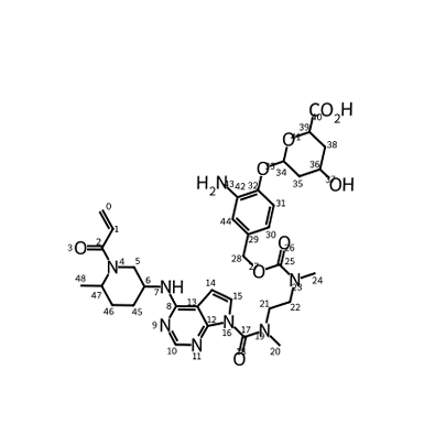 C=CC(=O)N1CC(Nc2ncnc3c2ccn3C(=O)N(C)CCN(C)C(=O)OCc2ccc(OC3CC(O)CC(C(=O)O)O3)c(N)c2)CCC1C